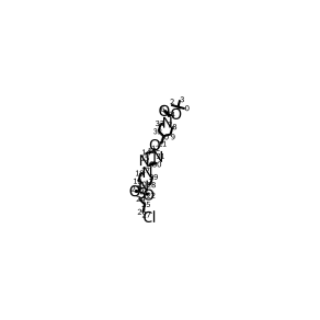 CC(C)(C)OC(=O)N1CCC(COc2cnc(N3CCN(S(=O)(=O)CCCCl)CC3)cn2)CC1